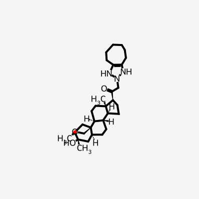 COC[C@]12CC[C@@](C)(O)C[C@@H]1CC[C@H]1[C@@H]3CC[C@H](C(=O)CN4NC5=C(CCCCCC5)N4)[C@@]3(C)CC[C@@H]12